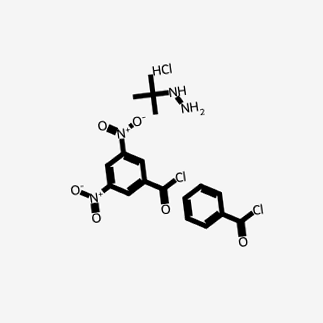 CC(C)(C)NN.Cl.O=C(Cl)c1cc([N+](=O)[O-])cc([N+](=O)[O-])c1.O=C(Cl)c1ccccc1